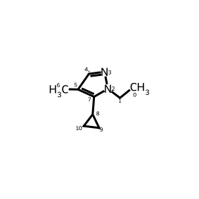 CCn1n[c]c(C)c1C1CC1